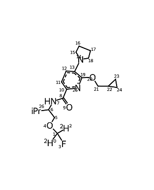 [2H]C([2H])(F)OCC(NC(=O)c1ccc(N2CCCC2)c(OCC2CC2)n1)C(C)C